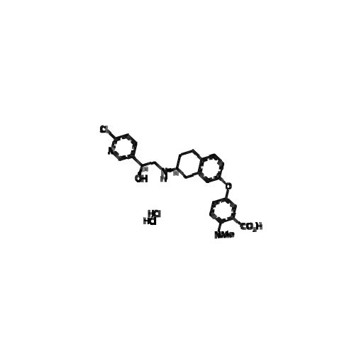 CNc1ccc(Oc2ccc3c(c2)C[C@@H](NC[C@@H](O)c2ccc(Cl)nc2)CC3)cc1C(=O)O.Cl.Cl